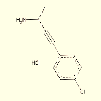 CC(N)C#Cc1ccc(Cl)cc1.Cl